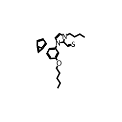 CCCCCOc1cccc(N2C=CN(CCCC)C2C=S)c1.c1cc2cc-2c1